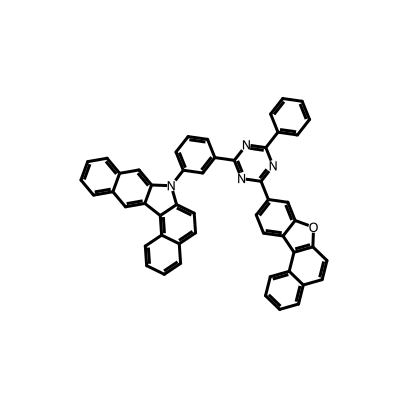 c1ccc(-c2nc(-c3cccc(-n4c5cc6ccccc6cc5c5c6ccccc6ccc54)c3)nc(-c3ccc4c(c3)oc3ccc5ccccc5c34)n2)cc1